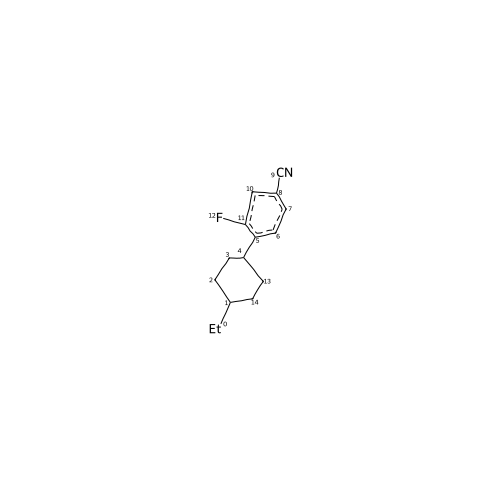 CCC1CCC(c2ccc(C#N)cc2F)CC1